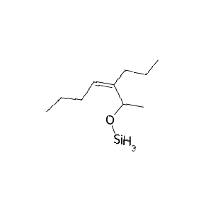 CCCC=C(CCC)C(C)O[SiH3]